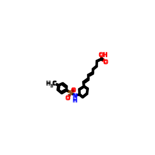 Cc1ccc(S(=O)(=O)NC2CCCC(C=CC=CCCCC(=O)O)C2)cc1